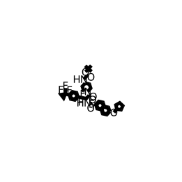 CC(C)(C)OC(=O)NC1CCN(C(=O)[C@H](NS(=O)(=O)c2ccc3cc(OC4CCCC4)ccc3c2)C(F)(F)c2ccc(C3(C(F)(F)F)CC3)cc2)CC1